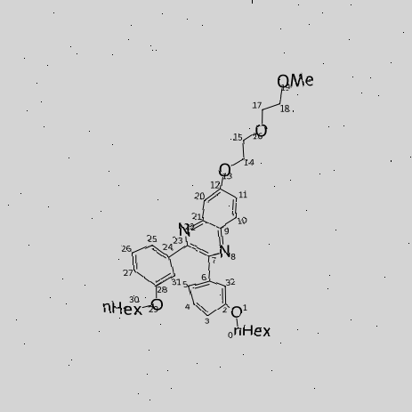 CCCCCCOc1cccc(-c2nc3ccc(OCCOCCOC)cc3nc2-c2cccc(OCCCCCC)c2)c1